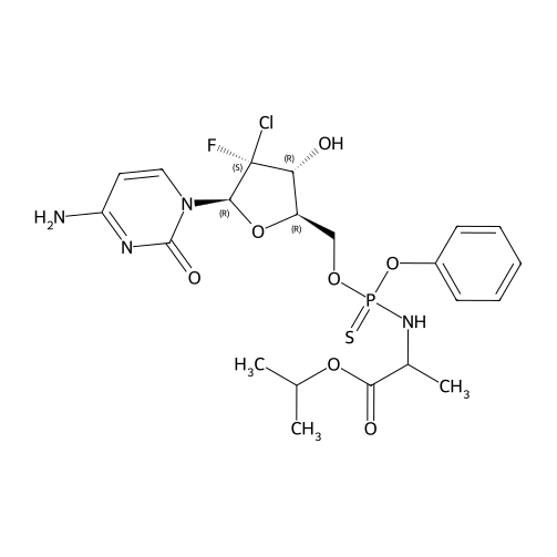 CC(C)OC(=O)C(C)NP(=S)(OC[C@H]1O[C@@H](n2ccc(N)nc2=O)[C@@](F)(Cl)[C@@H]1O)Oc1ccccc1